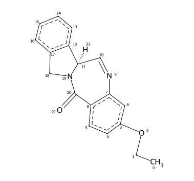 CCOc1ccc2c(c1)N=C[C@@H]1c3ccccc3CN1C2=O